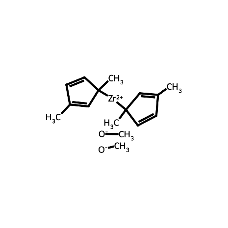 CC1=C[C](C)([Zr+2][C]2(C)C=CC(C)=C2)C=C1.C[O-].C[O-]